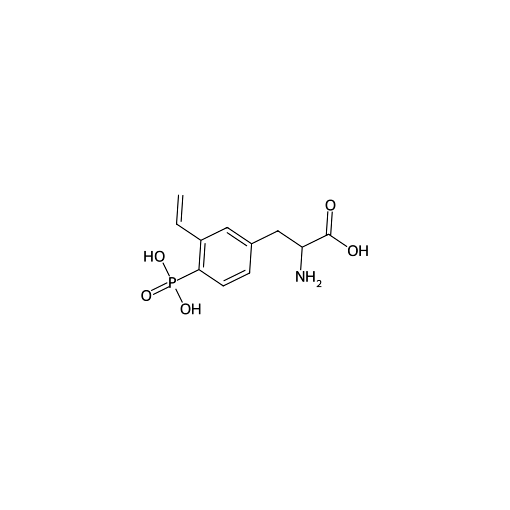 C=Cc1cc(CC(N)C(=O)O)ccc1P(=O)(O)O